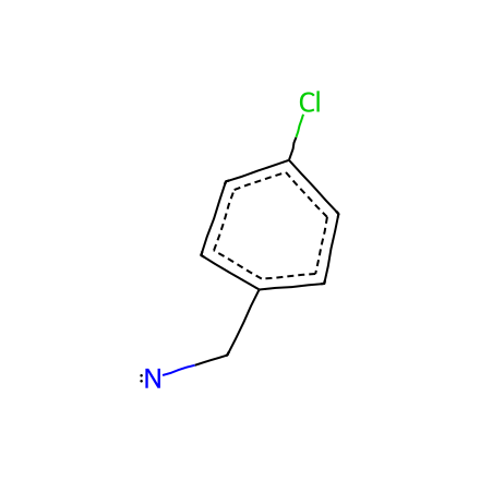 [N]Cc1ccc(Cl)cc1